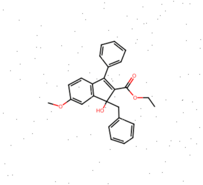 CCOC(=O)C1=C(c2ccccc2)c2ccc(OC)cc2C1(O)Cc1ccccc1